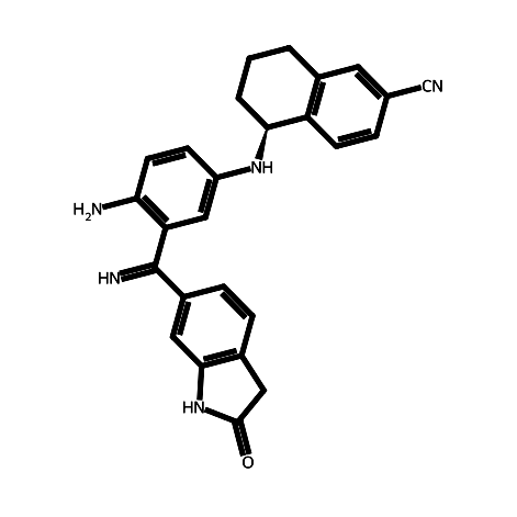 N#Cc1ccc2c(c1)CCC[C@@H]2Nc1ccc(N)c(C(=N)c2ccc3c(c2)NC(=O)C3)c1